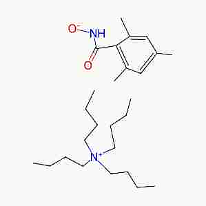 CCCC[N+](CCCC)(CCCC)CCCC.Cc1cc(C)c(C(=O)N[O-])c(C)c1